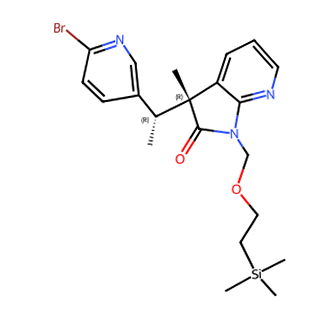 C[C@H](c1ccc(Br)nc1)[C@@]1(C)C(=O)N(COCC[Si](C)(C)C)c2ncccc21